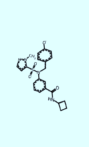 Cn1nccc1S(=O)(=O)N(Cc1ccc(Cl)cc1)c1cccc(C(=O)NC2CCC2)c1